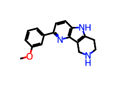 COc1cccc(-c2ccc3[nH]c4c(c3n2)CNCC4)c1